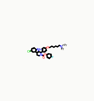 CCCN(CC)CCCCCCOc1ccc(C2c3[nH]c4ccc(Cl)cc4c3CCN2C(=O)Oc2ccc(F)cc2)cc1